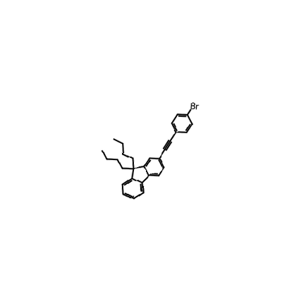 CCCCC1(CCCC)c2ccccc2-c2ccc(C#Cc3ccc(Br)cc3)cc21